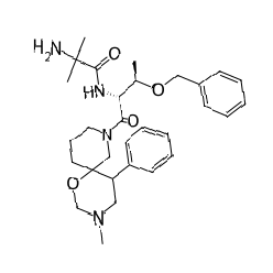 C[C@@H](OCc1ccccc1)[C@@H](NC(=O)C(C)(C)N)C(=O)N1CCCC2(C1)OCN(C)CC2c1ccccc1